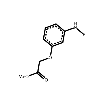 COC(=O)COc1cccc(NF)c1